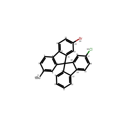 CC(C)(C)c1ccc2c(c1)C1(c3ccccc3-c3ccc(Cl)cc31)c1cc(Br)ccc1-2